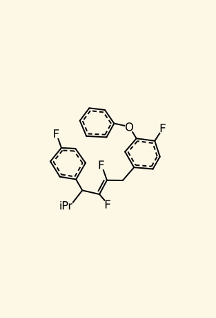 CC(C)C(C(F)=C(F)Cc1ccc(F)c(Oc2ccccc2)c1)c1ccc(F)cc1